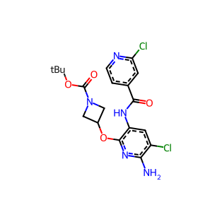 CC(C)(C)OC(=O)N1CC(Oc2nc(N)c(Cl)cc2NC(=O)c2ccnc(Cl)c2)C1